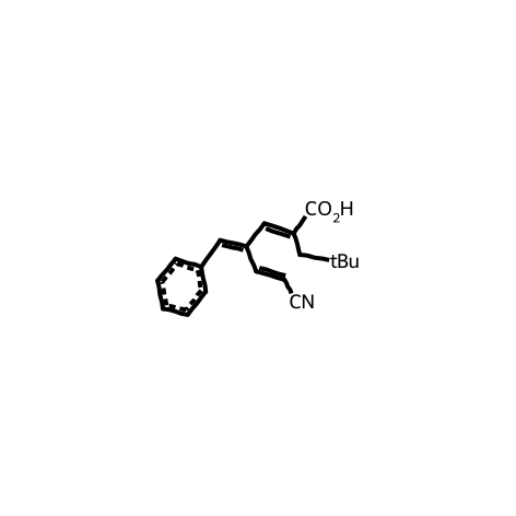 CC(C)(C)CC(=CC(C=CC#N)=Cc1ccccc1)C(=O)O